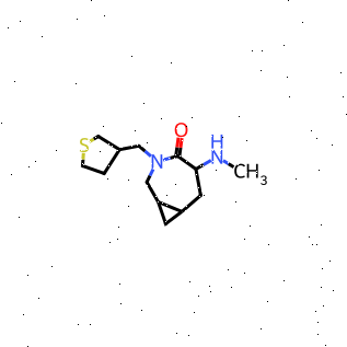 CNC1CC2CC2CN(CC2CCSC2)C1=O